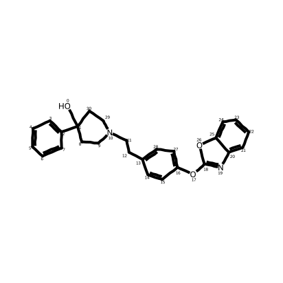 OC1(c2ccccc2)CCN(CCc2ccc(Oc3nc4ccccc4o3)cc2)CC1